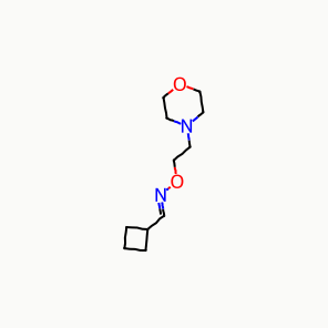 C(=NOCCN1CCOCC1)C1CCC1